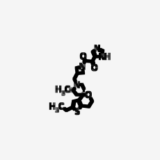 CCc1cc2c(s1)CCO[C@@]21CCN(CC2CN(C(=O)C(=O)c3cnc[nH]3)C2)[C@@H](C)C1